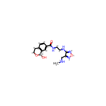 CNCc1nonc1NCCNC(=O)c1ccc2c(c1)B(O)OCC2